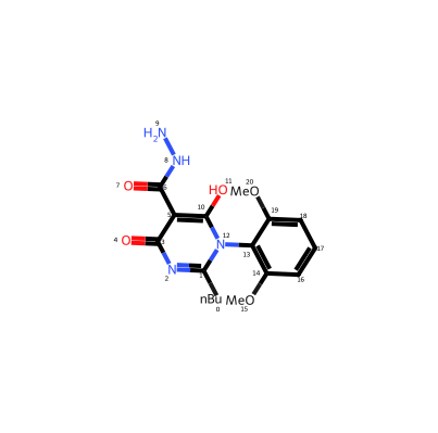 CCCCc1nc(=O)c(C(=O)NN)c(O)n1-c1c(OC)cccc1OC